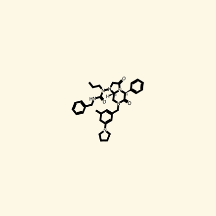 CCCN(C(=O)NCc1ccccc1)N1CC(=O)N2[C@@H](c3ccccc3)C(=O)N(CC3=CC(C)CC(N4CCCC4)=C3)C[C@@H]21